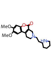 COc1cc2oc(=O)c3c(c2cc1OC)CCN(CCC1CCCCN1)C3